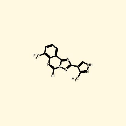 Cc1n[nH]cc1-c1nc2c3cccc(C(F)(F)F)c3nc(Cl)n2n1